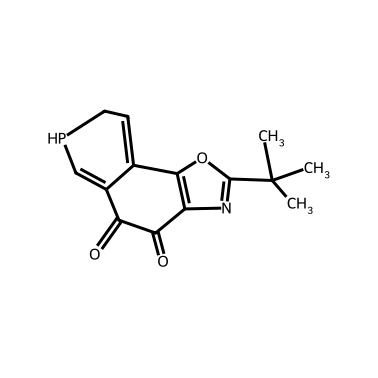 CC(C)(C)c1nc2c(o1)C1=CCPC=C1C(=O)C2=O